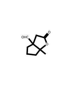 CC12CCCC1(C=O)CC(=O)O2